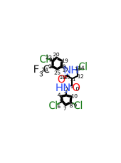 O=C(Nc1cc(Cl)cc(Cl)c1)C(CCCl)C(=O)Nc1ccc(Cl)c(C(F)(F)F)c1